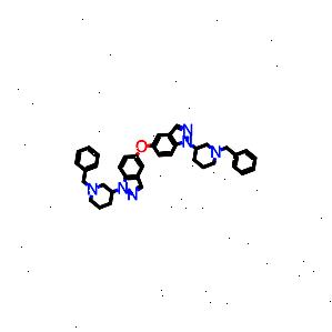 c1ccc(CN2CCCC(n3ncc4cc(Oc5ccc6c(cnn6C6CCCN(Cc7ccccc7)C6)c5)ccc43)C2)cc1